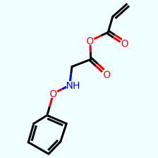 C=CC(=O)OC(=O)CNOc1ccccc1